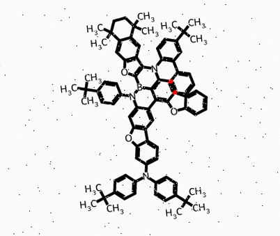 CC(C)(C)c1ccc(N2B3c4oc5cc6c(cc5c4N(c4ccc(C(C)(C)C)cc4-c4ccccc4)c4cc5c(oc7ccccc75)c(c43)-c3cc4c(cc32)oc2cc(N(c3ccc(C(C)(C)C)cc3)c3ccc(C(C)(C)C)cc3)ccc24)C(C)(C)CCC6(C)C)cc1